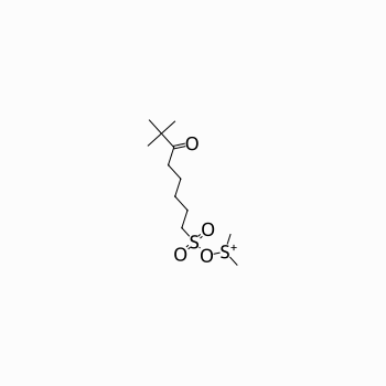 C[S+](C)OS(=O)(=O)CCCCCC(=O)C(C)(C)C